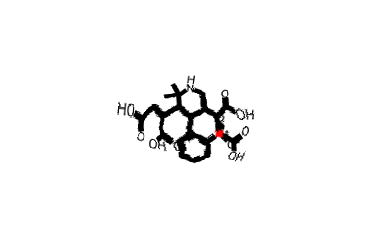 CC1(C)NC=C(C(CC(=O)O)C(=O)O)C(c2ccccc2[N+](=O)[O-])C1C(CC(=O)O)C(=O)O